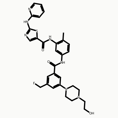 Cc1ccc(NC(=O)c2cc(CF)cc(N3CCN(CCO)CC3)c2)cc1NC(=O)c1cnc(Nc2ccccn2)s1